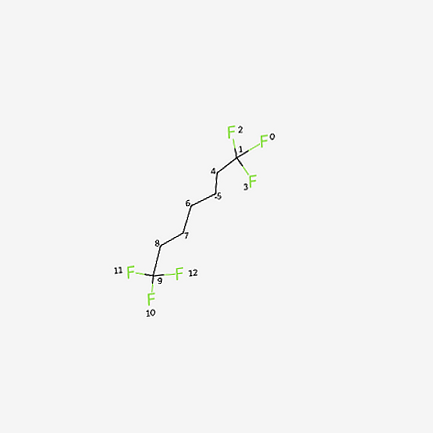 FC(F)(F)C[CH]CCCC(F)(F)F